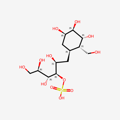 O=S(=O)(O)O[C@@H]([C@H](O)[C@H](O)CO)[C@@H](O)C[C@H]1C[C@@H](O)[C@@H](O)[C@H](O)[C@@H]1CO